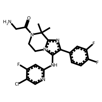 CC1(C)c2nc(-c3ccc(F)c(F)c3)c(Nc3cc(F)c(Cl)cn3)n2CCN1C(=O)CN